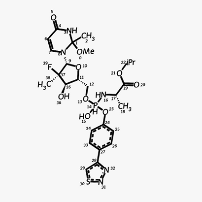 COC1(C)NC(=O)C=CN1[C@@H]1O[C@H](CO[PH](O)(N[C@@H](C)C(=O)OC(C)C)Oc2ccc(-c3csnn3)cc2)[C@@H](O)[C@@]1(C)F